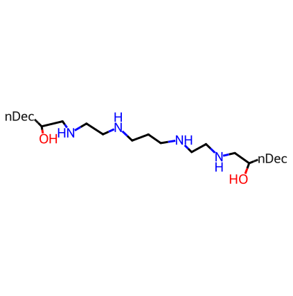 CCCCCCCCCCC(O)CNCCNCCCNCCNCC(O)CCCCCCCCCC